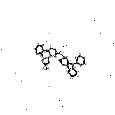 Cc1cc2c3nc(Oc4ccc5c6ccccc6n(-c6ccccn6)c5c4)ccc3c3cccnc3n2n1